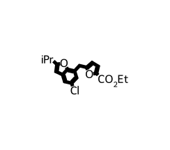 CCOC(=O)c1ccc(Cc2cc(Cl)cc3cc(C(C)C)oc23)o1